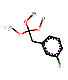 CCOC(Cc1cccc(F)c1)(O[SiH3])OCC